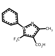 Cc1nn(-c2ccccc2)c(C(F)(F)F)c1C(=O)O